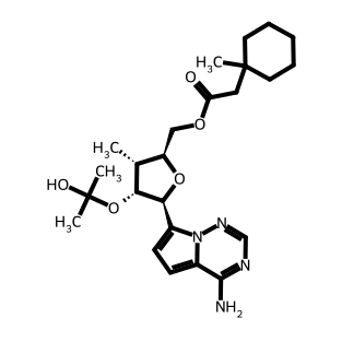 C[C@H]1[C@@H](OC(C)(C)O)[C@H](c2ccc3c(N)ncnn23)O[C@@H]1COC(=O)CC1(C)CCCCC1